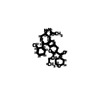 CCOC(=O)C(Cc1cc2c(s1)-n1c(C)nnc1CN=C2c1ccccc1Cl)C(=O)N1CCOCC1